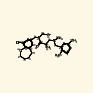 Cc1ccc(C)c(CN(C)CC(C)C(=O)N(Cc2cc(Cl)c3c(c2)CCCCO3)CC(C)C)c1